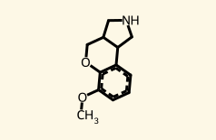 COc1cccc2c1OCC1CNCC21